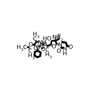 CC(C)OC(=O)[C@H](C)N[P@@](=O)(Oc1ccccc1)O[C@@H](C)[C@H]1O[C@@H](n2ccc(=O)[nH]c2=O)[C@@](N)(CF)C1O